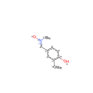 COc1cc(/C=[N+](/[O-])C(C)(C)C)ccc1O